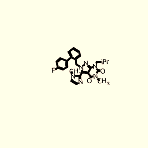 CC(C)Cn1c(=O)n(C)c(=O)c2c(-c3nccn3C)n(Cc3ccccc3-c3ccc(F)cc3)nc21